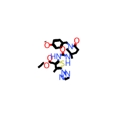 CCOC(=O)c1c(NC(=O)NC2(C)CCC(=O)N(Cc3ccc(OC)cc3)C2)sc(-n2nccn2)c1C